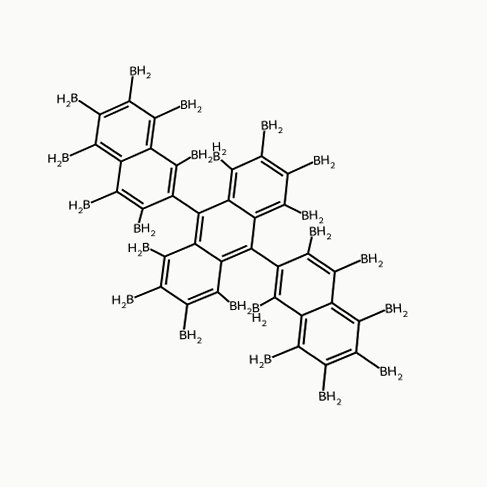 Bc1c(B)c(B)c2c(B)c(-c3c4c(B)c(B)c(B)c(B)c4c(-c4c(B)c(B)c5c(B)c(B)c(B)c(B)c5c4B)c4c(B)c(B)c(B)c(B)c34)c(B)c(B)c2c1B